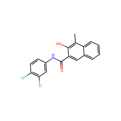 Cc1c(O)c(C(=O)Nc2ccc(Cl)c(Cl)c2)cc2ccccc12